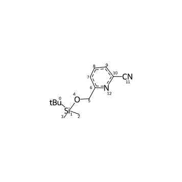 CC(C)(C)[Si](C)(C)OCc1cccc(C#N)n1